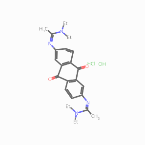 CCN(CC)C(C)=Nc1ccc2c(c1)C(=O)c1ccc(N=C(C)N(CC)CC)cc1C2=O.Cl.Cl